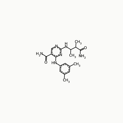 Cc1cc(C)cc(Nc2nc(NC(C)C(C)C(N)=O)ncc2C(N)=O)c1